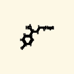 CCCCCCCCCC(O)c1ccc(F)cc1